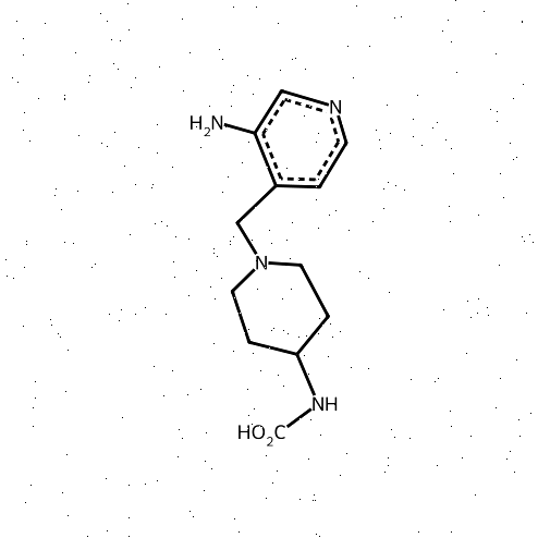 Nc1cnccc1CN1CCC(NC(=O)O)CC1